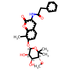 CO[C@@H]1[C@@H](O)[C@@H](O)[C@H](Oc2ccc3cc(NC(=O)Cc4ccccc4)c(=O)oc3c2C)OC1(C)C